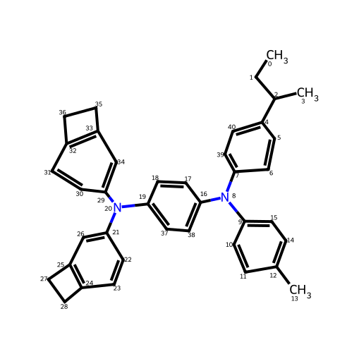 CCC(C)c1ccc(N(c2ccc(C)cc2)c2ccc(N(c3ccc4c(c3)CC4)c3ccc4c(c3)CC4)cc2)cc1